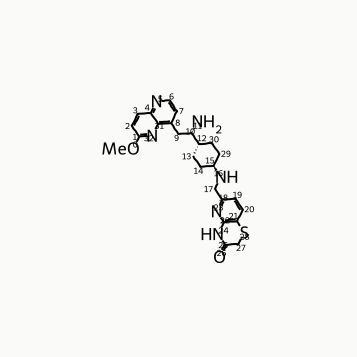 COc1ccc2nccc(C[C@H](N)[C@H]3CC[C@H](NCc4ccc5c(n4)NC(=O)CS5)CC3)c2n1